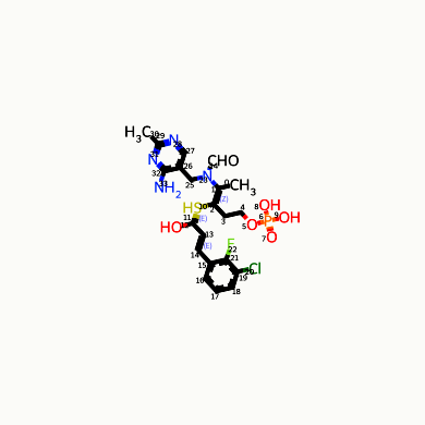 C/C(=C(CCOP(=O)(O)O)/[SH]=C(O)\C=C\c1cccc(Cl)c1F)N(C=O)Cc1cnc(C)nc1N